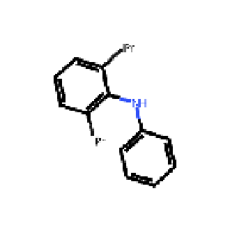 CC(C)c1cccc(C(C)C)c1Nc1ccccc1